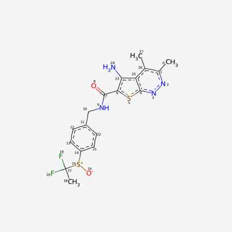 Cc1nnc2sc(C(=O)NCc3ccc([S+]([O-])C(C)(F)F)cc3)c(N)c2c1C